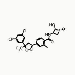 Cc1cc(C2=NOC(c3cc(Cl)cc(Cl)c3)(C(F)(F)F)C2)ccc1C(=O)N[C@@H]1C[S+]([O-])[C@H]1O